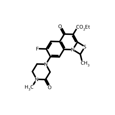 CCOC(=O)c1c2n(c3cc(N4CCN(C)C(=O)C4)c(F)cc3c1=O)C(C)S2